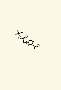 CC(=O)c1ccn(CC(=O)OC(C)(C)C)c1